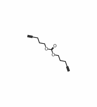 C#CCCCOC(=O)OCCCC#C